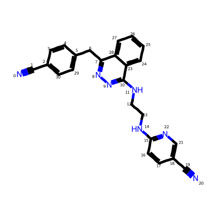 N#Cc1ccc(Cc2nnc(NCCNc3ccc(C#N)cn3)c3ccccc23)cc1